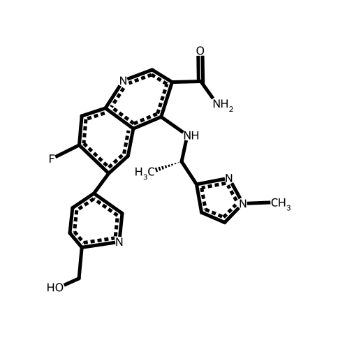 C[C@H](Nc1c(C(N)=O)cnc2cc(F)c(-c3ccc(CO)nc3)cc12)c1ccn(C)n1